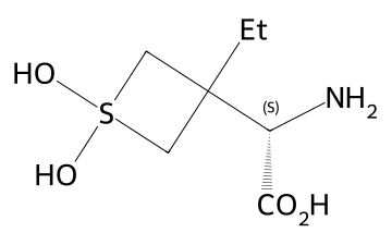 CCC1([C@H](N)C(=O)O)CS(O)(O)C1